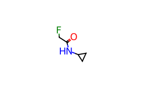 O=C(CF)NC1CC1